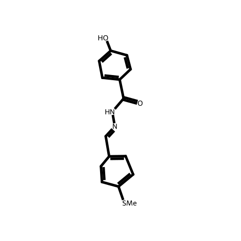 CSc1ccc(C=NNC(=O)c2ccc(O)cc2)cc1